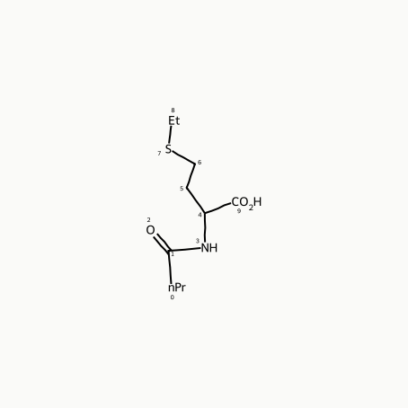 CCCC(=O)NC(CCSCC)C(=O)O